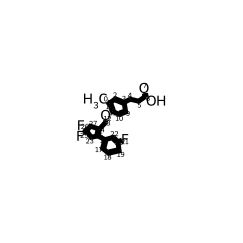 Cc1cc(CCC(=O)O)ccc1OCC1=C(c2cccc(F)c2)CC(F)(F)C1